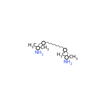 Cc1cc(N)cc(C)c1Cc1ccc(CCCCCCCCCc2ccc(Cc3c(C)cc(N)cc3C)cc2)cc1